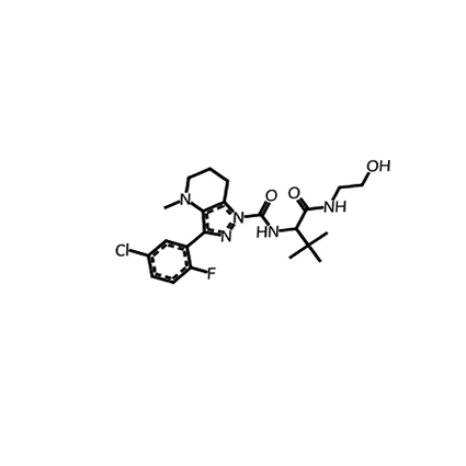 CN1CCCc2c1c(-c1cc(Cl)ccc1F)nn2C(=O)NC(C(=O)NCCO)C(C)(C)C